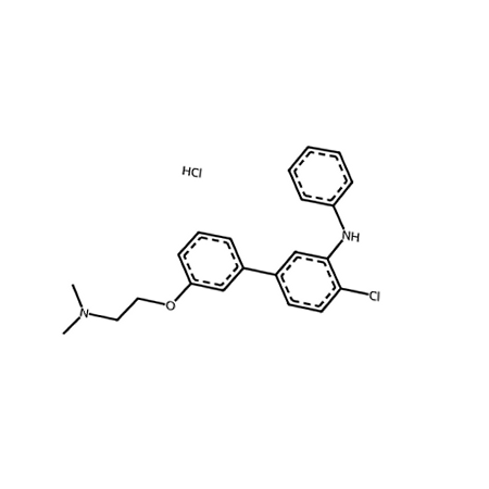 CN(C)CCOc1cccc(-c2ccc(Cl)c(Nc3ccccc3)c2)c1.Cl